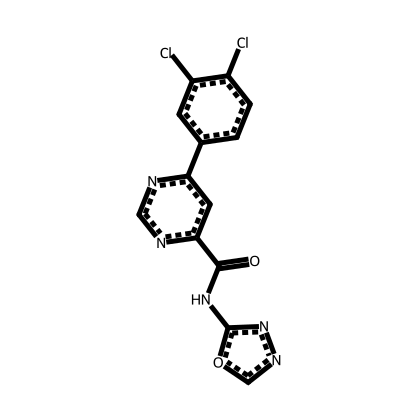 O=C(Nc1nnco1)c1cc(-c2ccc(Cl)c(Cl)c2)ncn1